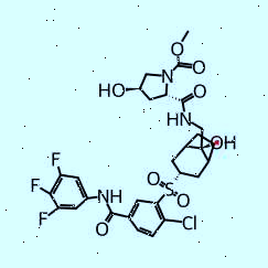 COC(=O)N1C[C@H](O)C[C@H]1C(=O)NC[C@@]1(O)C2C[C@@H](S(=O)(=O)c3cc(C(=O)Nc4cc(F)c(F)c(F)c4)ccc3Cl)CC1[C@@H](C)C2